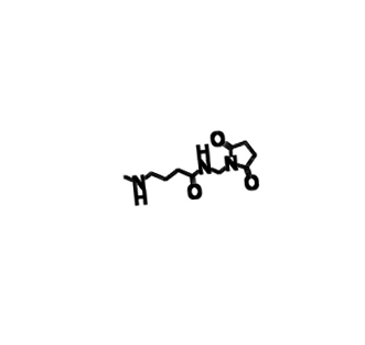 CNCCCC(=O)NCN1C(=O)CCC1=O